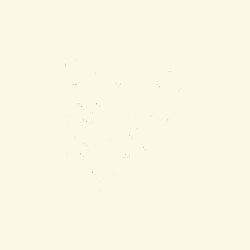 CCc1nc(C)sc1C(=O)Nc1nc2cc(C(=O)O)cc(OCCCN3CCOCC3)c2n1CC=CCn1c(NC(=O)c2cc(C)nn2CC)nc2cc(C(=O)O)cc(SC)c21